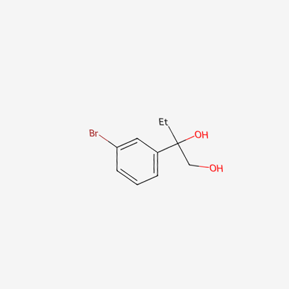 CCC(O)(CO)c1cccc(Br)c1